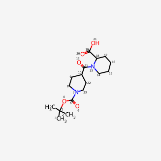 CC(C)(C)OC(=O)N1CCC(C(=O)N2CCCCC2C(=O)O)CC1